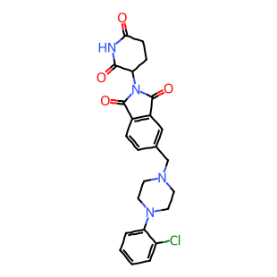 O=C1CCC(N2C(=O)c3ccc(CN4CCN(c5ccccc5Cl)CC4)cc3C2=O)C(=O)N1